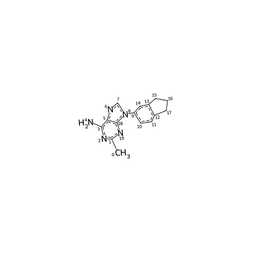 Cc1nc(N)c2ncn(-c3ccc4c(c3)CCC4)c2n1